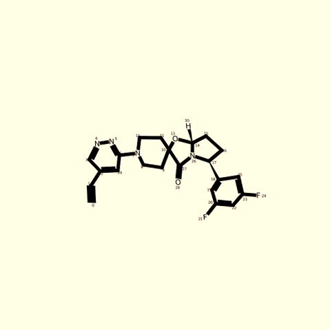 C#Cc1cnnc(N2CCC3(CC2)O[C@@H]2CC[C@@H](c4cc(F)cc(F)c4)N2C3=O)c1